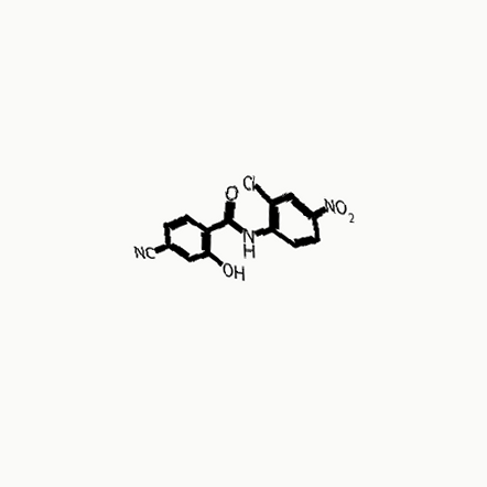 N#Cc1ccc(C(=O)Nc2ccc([N+](=O)[O-])cc2Cl)c(O)c1